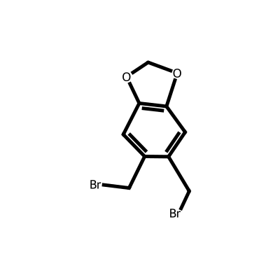 BrCc1cc2c(cc1CBr)OCO2